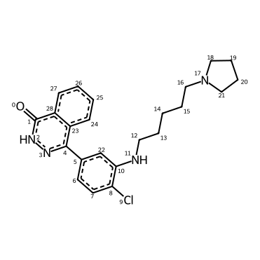 O=c1[nH]nc(-c2ccc(Cl)c(NCCCCCN3CCCC3)c2)c2ccccc12